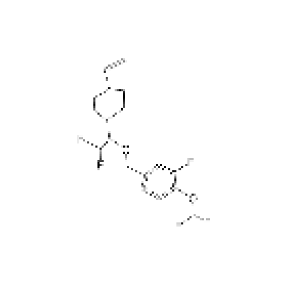 C=CC1CCC(C(OCc2ccc(OC(F)F)c(F)c2)C(F)F)CC1